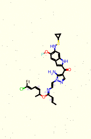 C/C=C/C(=N\C=C\n1ncc(C(=O)c2cc3cc(OF)c(NSC4CC4)cc3[nH]2)c1N)OC(C)/C=C\C=C(\Cl)CC